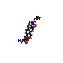 CC(C)CCNC(=O)C1=CCC2C3CCc4cc(OS(N)(=O)=O)ccc4C3CC[C@]12C